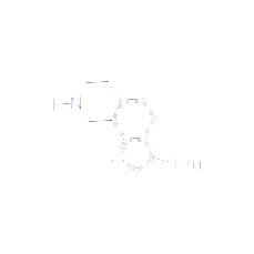 CC(C)(C)c1coc2c3c(ccc12)CCN(I)C3